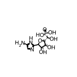 Nc1cnc(C2O[C@H](C(O)P(=O)(O)O)[C@@H](O)[C@H]2O)[nH]1